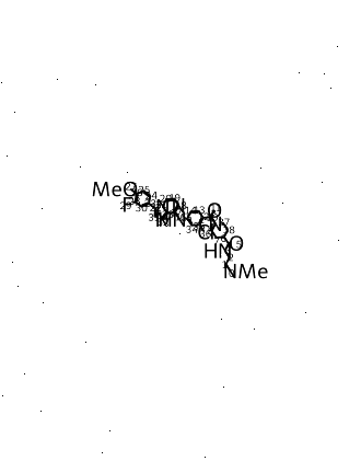 CNCCNC(=O)C1CCN(C(=O)c2ccc(Nc3nccn4c(-c5ccc(OC)c(F)c5)cnc34)cc2Cl)CC1